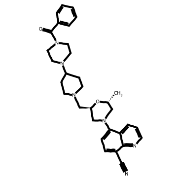 C[C@@H]1CN(c2ccc(C#N)c3ncccc23)C[C@@H](CN2CCC(N3CCN(C(=O)c4ccccc4)CC3)CC2)O1